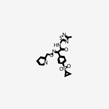 Cc1nsc(NC(=O)/C(=N/OCc2ccccn2)c2ccc(S(=O)(=O)C3CC3)cc2)n1